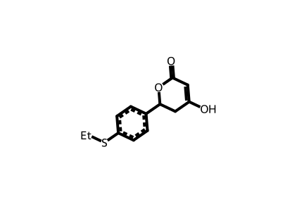 CCSc1ccc(C2CC(O)=CC(=O)O2)cc1